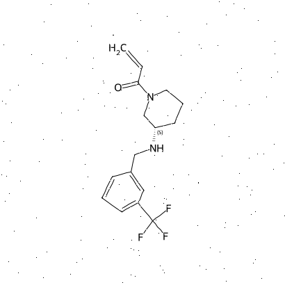 C=CC(=O)N1CCC[C@H](NCc2cccc(C(F)(F)F)c2)C1